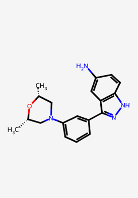 C[C@@H]1CN(c2cccc(-c3n[nH]c4ccc(N)cc34)c2)C[C@H](C)O1